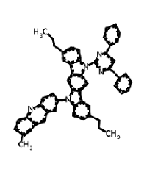 CCCc1ccc2c(c1)c1cc3c(cc1n2-c1ccc2nc4ccc(C)cc4cc2c1)c1cc(CCC)ccc1n3-c1nc(-c2ccccc2)cc(-c2ccccc2)n1